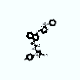 Cc1ccc(-n2nc(C(C)C)cc2NC(=O)Nc2ccc(Oc3ccnc(Nc4c[c]ccc4)n3)c3ccccc23)cc1